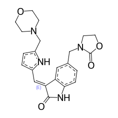 O=C1Nc2ccc(CN3CCOC3=O)cc2/C1=C\c1ccc(CN2CCOCC2)[nH]1